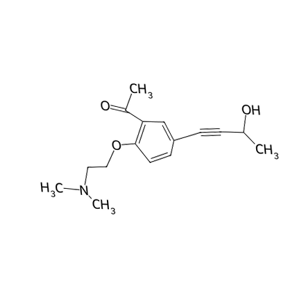 CC(=O)c1cc(C#CC(C)O)ccc1OCCN(C)C